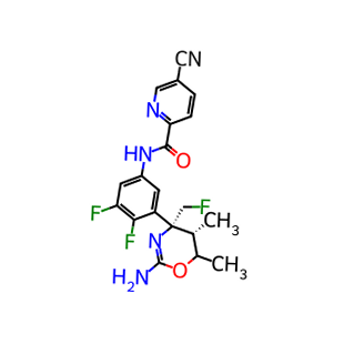 CC1OC(N)=N[C@@](CF)(c2cc(NC(=O)c3ccc(C#N)cn3)cc(F)c2F)[C@@H]1C